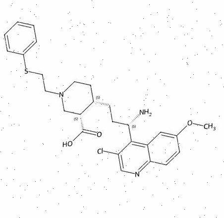 COc1ccc2ncc(Cl)c([C@@H](N)CC[C@H]3CCN(CCSc4ccccc4)C[C@H]3C(=O)O)c2c1